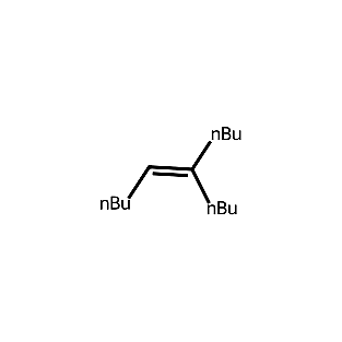 CCCCC=C(CCCC)CCCC